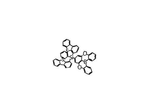 c1ccc([Si](c2cc3c4c(c2)Oc2ccccc2B4c2ccccc2O3)(c2cccc3c2sc2ccccc23)c2cccc3c2sc2ccccc23)cc1